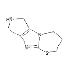 C1CSc2nc3c(n2C1)CNC3